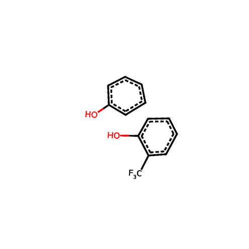 Oc1ccccc1.Oc1ccccc1C(F)(F)F